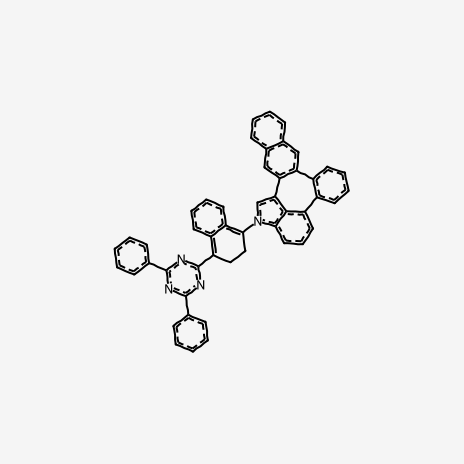 c1ccc(-c2nc(C3=c4ccccc4=C(n4cc5c6c(cccc64)-c4ccccc4-c4cc6ccccc6cc4-5)CC3)nc(-c3ccccc3)n2)cc1